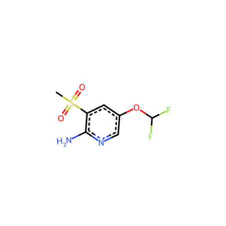 CS(=O)(=O)c1cc(OC(F)F)cnc1N